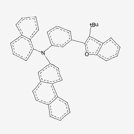 CC(C)(C)c1c(-c2cccc(N(c3ccc4c(ccc5ccccc54)c3)c3cccc4ccccc34)c2)oc2ccccc12